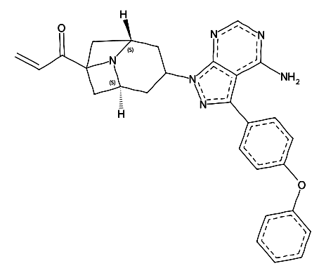 C=CC(=O)C12C[C@@H]3CC(n4nc(-c5ccc(Oc6ccccc6)cc5)c5c(N)ncnc54)C[C@@H](C1)N32